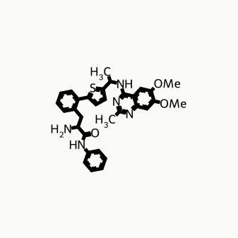 COc1cc2nc(C)nc(NC(C)c3ccc(-c4ccccc4CC(N)C(=O)Nc4ccccc4)s3)c2cc1OC